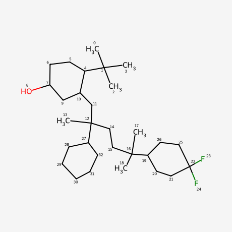 CC(C)(C)C1CCC(O)CC1CC(C)(CCC(C)(C)C1CCC(F)(F)CC1)C1CCCCC1